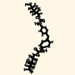 O=C(NC1CCC(CC2CCC(NC(=O)OCC(F)(F)C(F)(F)C(F)(F)C(F)F)CC2)CC1)OCC(F)(F)C(F)(F)C(F)(F)CF